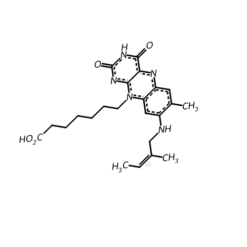 C/C=C(/C)CNc1cc2c(cc1C)nc1c(=O)[nH]c(=O)nc-1n2CCCCCCC(=O)O